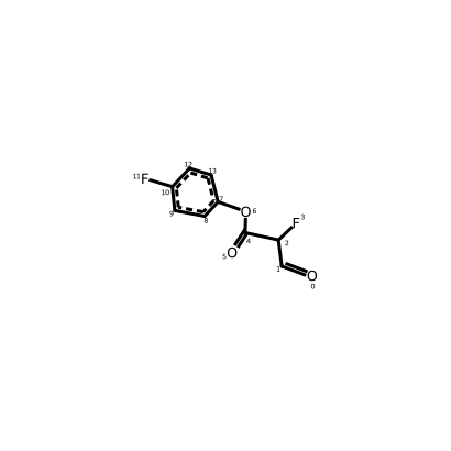 O=CC(F)C(=O)Oc1ccc(F)cc1